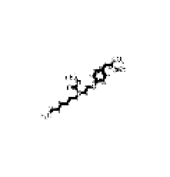 CCCCOC(=O)N(CCCCCCC(F)(F)F)CCOc1ccc(CC(OCC)C(=O)O)cc1